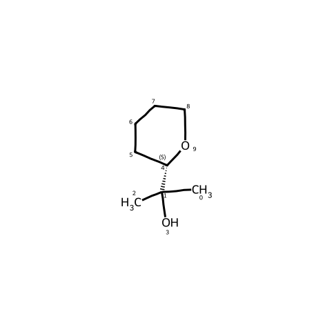 CC(C)(O)[C@@H]1CCCCO1